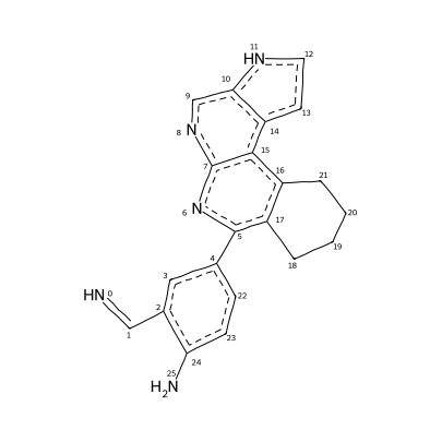 N=Cc1cc(-c2nc3ncc4[nH]ccc4c3c3c2CCCC3)ccc1N